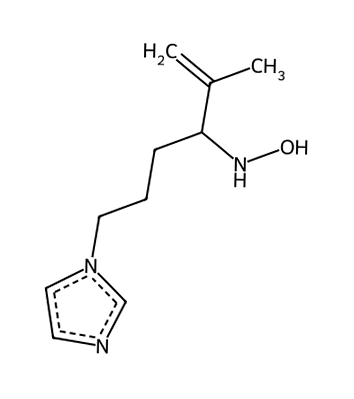 C=C(C)C(CCCn1ccnc1)NO